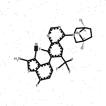 N#Cc1c(N)sc2c(F)ccc(-c3c(C(F)(F)F)cc4c(N5C[C@H]6CC[C@@H](C5)N6)ncnc4c3F)c12